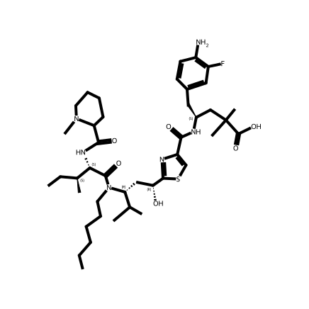 CCCCCCN(C(=O)[C@@H](NC(=O)C1CCCCN1C)[C@@H](C)CC)[C@H](C[C@@H](O)c1nc(C(=O)N[C@@H](Cc2ccc(N)c(F)c2)CC(C)(C)C(=O)O)cs1)C(C)C